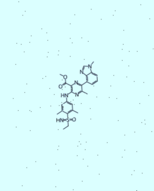 CCS(=N)(=O)c1c(C)cc(Nc2nc(C)c(-c3cccc4c3ncn4C)nc2C(=O)OC)cc1C